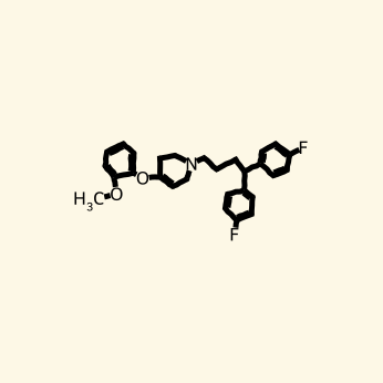 COc1ccccc1OC1=CCN(CCCC(c2ccc(F)cc2)c2ccc(F)cc2)CC1